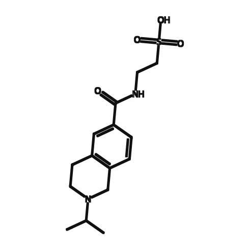 CC(C)N1CCc2cc(C(=O)NCCS(=O)(=O)O)ccc2C1